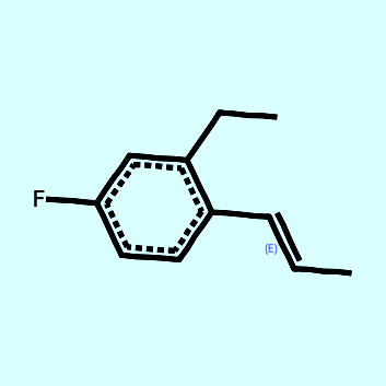 C/C=C/c1ccc(F)cc1CC